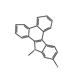 Cn1c2cc(F)ccc2c2c3ccccc3c3ccccc3c21